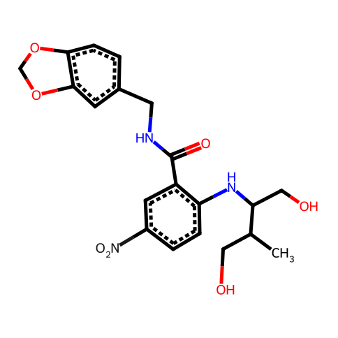 CC(CO)C(CO)Nc1ccc([N+](=O)[O-])cc1C(=O)NCc1ccc2c(c1)OCO2